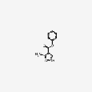 Nc1n[nH]cc1C(=O)Oc1ccccc1